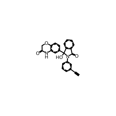 C#Cc1cccc(N2C(=O)c3ccccc3C2(O)c2ccc3c(c2)NC(=O)CO3)c1